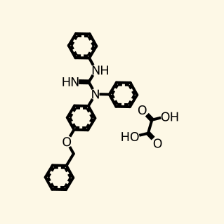 N=C(Nc1ccccc1)N(c1ccccc1)c1ccc(OCc2ccccc2)cc1.O=C(O)C(=O)O